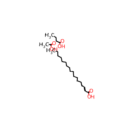 CC(=O)O.CCCC(=O)O.CCCCCCCCCCCCCCCC=CC(=O)O